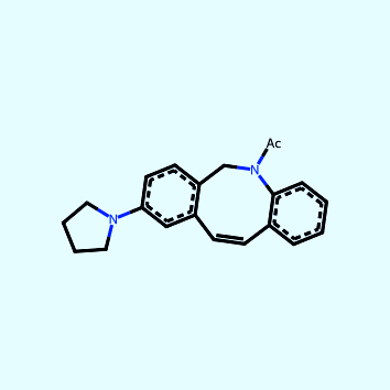 CC(=O)N1Cc2ccc(N3CCCC3)cc2C=Cc2ccccc21